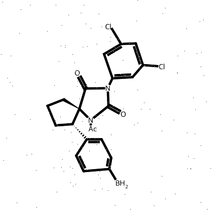 Bc1ccc([C@@H]2CCC[C@]23C(=O)N(c2cc(Cl)cc(Cl)c2)C(=O)N3C(C)=O)cc1